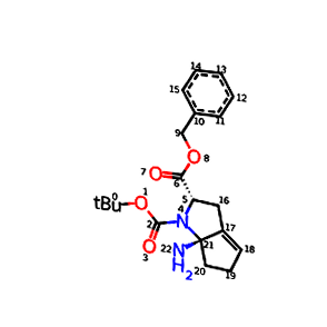 CC(C)(C)OC(=O)N1[C@H](C(=O)OCc2ccccc2)CC2=CCC[C@@]21N